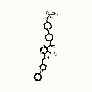 Cc1c(NCC2CCN(c3ccccc3)C2)ncnc1C(=O)N1CCC(N2CCC(NS(C)(=O)=O)CC2)CC1